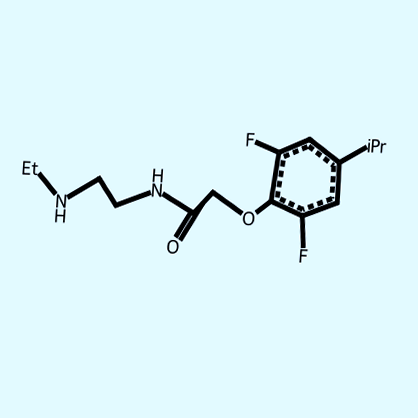 CCNCCNC(=O)COc1c(F)cc(C(C)C)cc1F